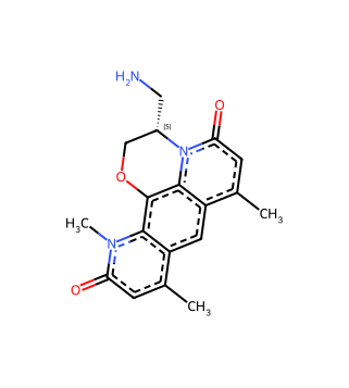 Cc1cc(=O)n(C)c2c3c4c(cc12)c(C)cc(=O)n4[C@@H](CN)CO3